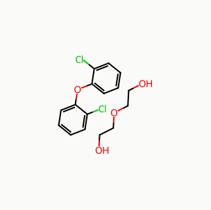 Clc1ccccc1Oc1ccccc1Cl.OCCOCCO